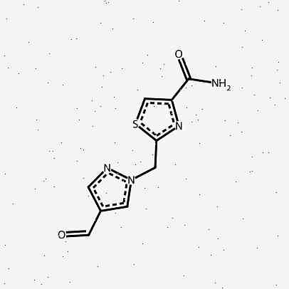 NC(=O)c1csc(Cn2cc(C=O)cn2)n1